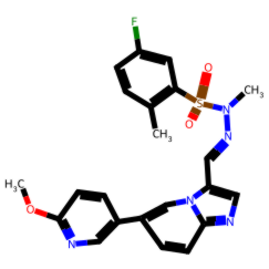 COc1ccc(-c2ccc3ncc(C=NN(C)S(=O)(=O)c4cc(F)ccc4C)n3c2)cn1